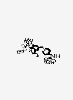 CC(C)(C)OC(=O)NC1CCN(Cc2cc(Cl)c3c(N(C(=O)OC(C)(C)C)C(=O)OC(C)(C)C)ncc(Br)c3c2)CC1